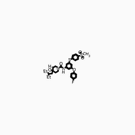 CCC(CC)CC1(O)CCN(C(=O)Nc2cc(Oc3ccc(F)cc3)cc(Sc3ccc(S(C)(=O)=O)cc3)c2)CC1